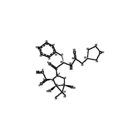 COC(=O)[C@@H]1[C@@H]2[C@H](CN1C(=O)[C@H](Cc1ccncc1)NC(=O)CC1CCOC1)C2(C)C